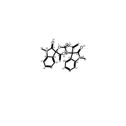 C=C(C#N)C1(OC(=O)OC2(C(=C)C#N)C(=O)N(C)c3ccccc32)C(=O)N(C)c2ccccc21